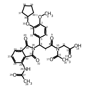 COc1ccc(C(CC(=O)N(CC(=O)O)C(C)=O)N2C(=O)c3cccc(NC(C)=O)c3C2=O)cc1OC1CCCC1